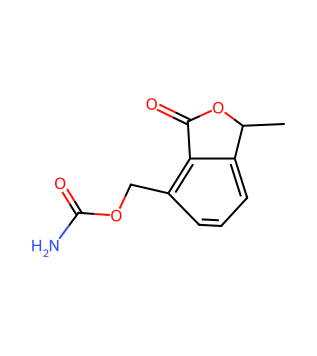 CC1OC(=O)c2c(COC(N)=O)cccc21